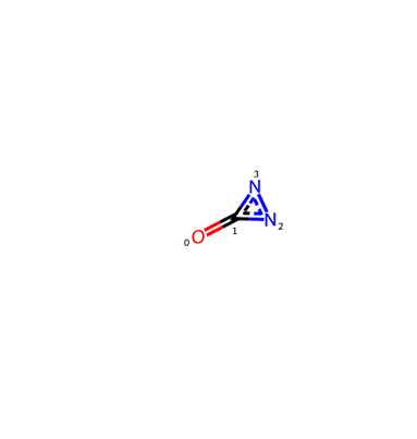 O=c1nn1